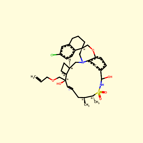 C=CCOC[C@@]1(O)/C=C/C[C@H](C)[C@@H](C)S(=O)(=O)NC(O)c2ccc3c(c2)N(C[C@@H]2CC[C@H]21)C[C@@]1(CCCc2cc(Cl)ccc21)CO3